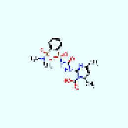 CC1=CC(C)N(C(=O)O)C(NC(=O)NS(=O)(=O)c2ccccc2S(=O)(=O)N(C)C)=N1